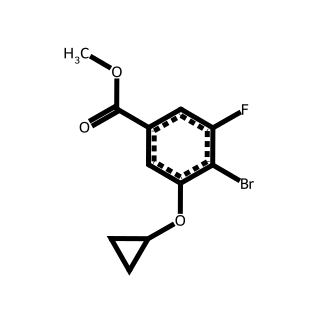 COC(=O)c1cc(F)c(Br)c(OC2CC2)c1